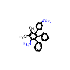 Cc1c(C)c(-c2ccc(N)cc2)c(-c2ccccc2)c(-c2ccccc2)c1N